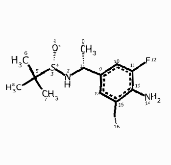 C[C@@H](N[S@@+]([O-])C(C)(C)C)c1cc(F)c(N)c(I)c1